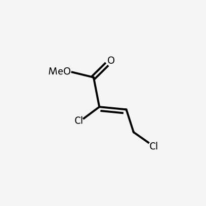 COC(=O)/C(Cl)=C/CCl